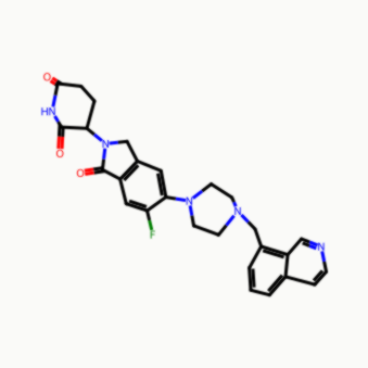 O=C1CCC(N2Cc3cc(N4CCN(Cc5cccc6ccncc56)CC4)c(F)cc3C2=O)C(=O)N1